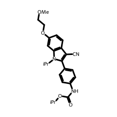 COCCOc1ccc2c(C#N)c(-c3ccc(NC(=O)OC(C)C)cc3)n(C(C)C)c2c1